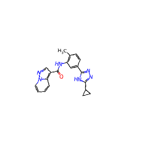 Cc1ccc(-c2nnc(C3CC3)[nH]2)cc1NC(=O)c1cnn2ccccc12